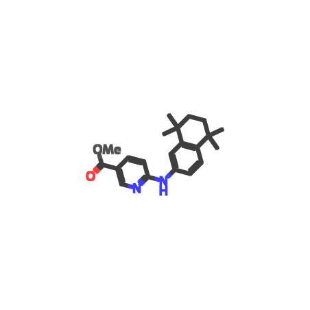 COC(=O)c1ccc(Nc2ccc3c(c2)C(C)(C)CCC3(C)C)nc1